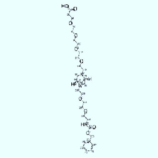 O=C(O)CCOCCOCCOCCOCCN1C[C@@H]2C[C@H]1CN2CCOCCOCCNC(=O)OCc1ccccc1